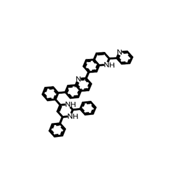 C1=CC(c2ccccn2)Nc2cc(-c3ccc4ccc(-c5ccccc5C5=CC(c6ccccc6)NC(c6ccccc6)N5)cc4n3)ccc21